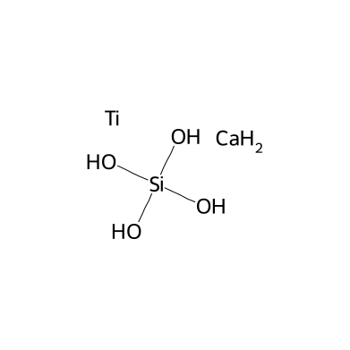 O[Si](O)(O)O.[CaH2].[Ti]